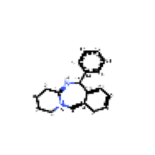 C1=CCC2=CN3CCCCC3=NC(c3ccccc3)C2=C1